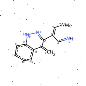 C=C1C(/C(C=N)=C/NC)=NNc2ccccc21